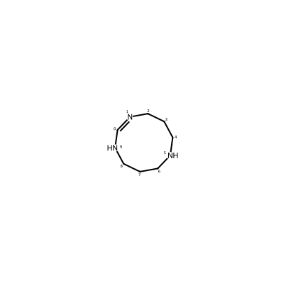 C1=NCCCNCCCN1